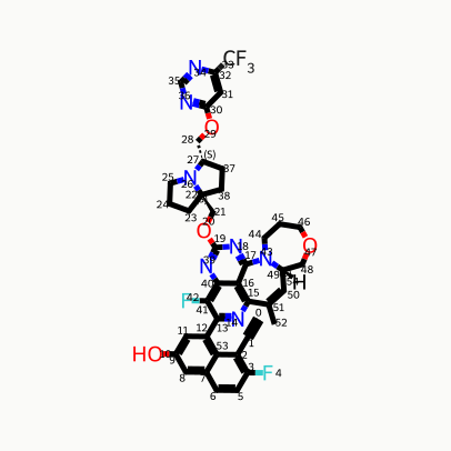 C#Cc1c(F)ccc2cc(O)cc(-c3nc4c5c(nc(OC[C@@]67CCCN6[C@H](COc6cc(C(F)(F)F)ncn6)CC7)nc5c3F)N3CCCOC[C@@H]3C=C4C)c12